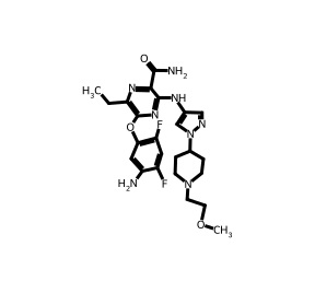 CCc1nc(C(N)=O)c(Nc2cnn(C3CCN(CCOC)CC3)c2)nc1Oc1cc(N)c(F)cc1F